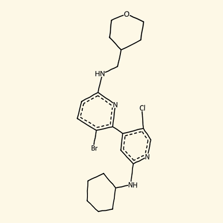 Clc1cnc(NC2CCCCC2)cc1-c1nc(NCC2CCOCC2)ccc1Br